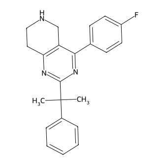 CC(C)(c1ccccc1)c1nc2c(c(-c3ccc(F)cc3)n1)CNCC2